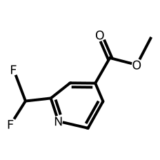 COC(=O)c1ccnc(C(F)F)c1